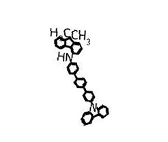 CC1(C)c2ccccc2-c2c(Nc3ccc(-c4ccc(-c5ccc(-n6c7ccccc7c7ccccc76)cc5)cc4)cc3)cccc21